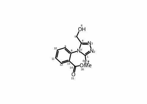 CCc1nnc(CO)n1-c1ccccc1C(=O)OC